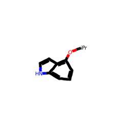 CC(C)Oc1cccc2[nH]ccc12